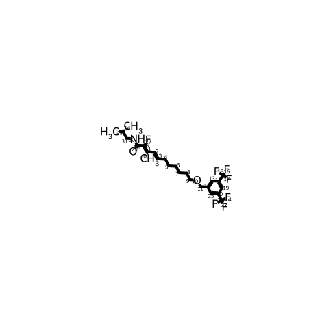 CC(/C=C/CCCCCCOCc1cc(C(F)(F)F)cc(C(F)(F)F)c1)=C(/F)C(=O)NCC(C)C